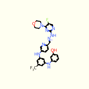 Oc1cccc(Nc2cc(Nc3ccc(/C=N/Nc4ncc(F)c(N5CCOCC5)n4)nc3)cc(C(F)(F)F)c2)c1